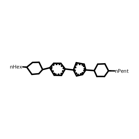 CCCCCCC1CCC(c2ccc(-c3ccc(C4CCC(CCCCC)CC4)cc3)cc2)CC1